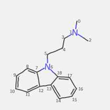 CN(C)CCCn1c2c[c]ccc2c2ccccc21